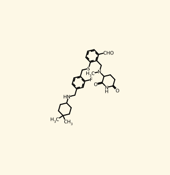 CN(Cc1c(C=O)cccc1SCc1ccc(CNC2CCC(C)(C)CC2)cc1F)C1CCC(=O)NC1=O